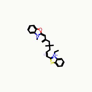 C=C(C=C1Oc2ccccc2N1C)CC(C)(C)C/C=C\c1sc2ccccc2[n+]1CC